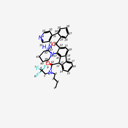 CCCCN(CC(F)(F)F)C(=O)C1c2ccccc2-c2ccc(C(=O)c3ccccc3-c3ccncc3)c(N3CCCCC3N)c21